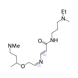 CCN(C)CCCNC(=O)/C=C/N=C\COC(C)CCNC